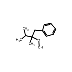 CC(C)C(C)(Cc1ccccc1)OO